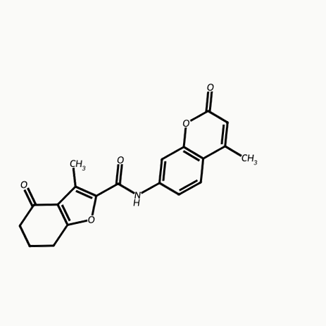 Cc1c(C(=O)Nc2ccc3c(C)cc(=O)oc3c2)oc2c1C(=O)CCC2